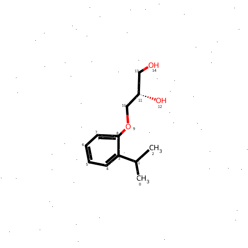 CC(C)c1ccccc1OC[C@@H](O)CO